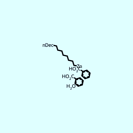 CCCCCCCCCCCCCCCCC[CH2][Zn].O.O=C(O)c1ccccc1.O=C(O)c1ccccc1